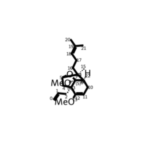 C=CC[C@]12CC3O[C@@]1(OC)[C@H](CC=C2OC)[C@]3(C)CCC=C(C)C